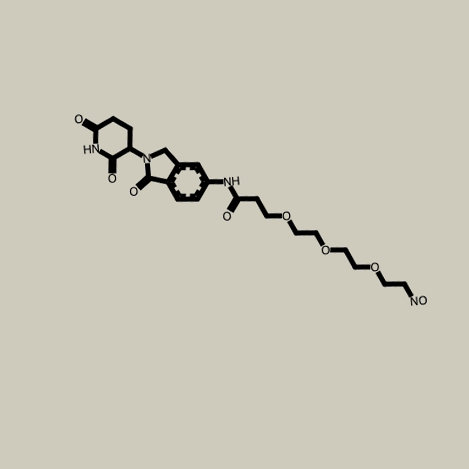 O=NCCOCCOCCOCCC(=O)Nc1ccc2c(c1)CN(C1CCC(=O)NC1=O)C2=O